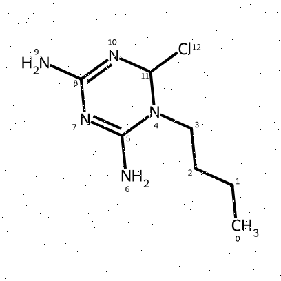 CCCCN1C(N)=NC(N)=NC1Cl